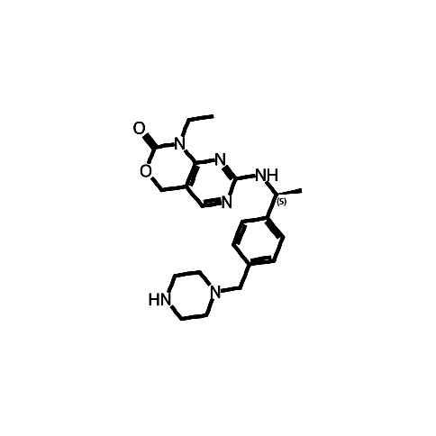 CCN1C(=O)OCc2cnc(N[C@@H](C)c3ccc(CN4CCNCC4)cc3)nc21